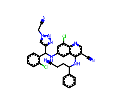 N#CCCC(Nc1c(C#N)cnc2c(Cl)cc(NC(c3cn(CC#N)nn3)c3ccccc3Cl)cc12)c1ccccc1